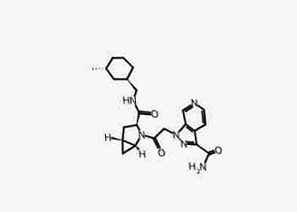 C[C@@H]1CCC[C@@H](CNC(=O)[C@@H]2C[C@H]3C[C@H]3N2C(=O)Cn2nc(C(N)=O)c3ccncc32)C1